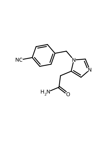 N#Cc1ccc(Cn2cncc2CC(N)=O)cc1